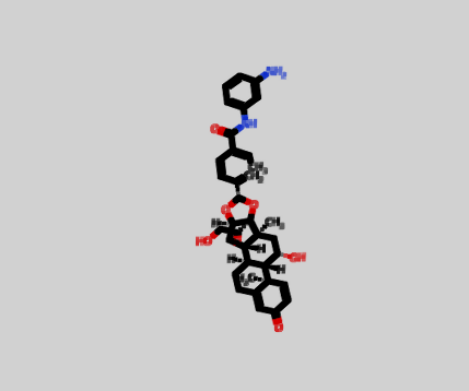 C=C(/C=C\C(=C/C)C(=O)Nc1cccc(N)c1)[C@H]1O[C@@H]2C[C@H]3[C@@H]4CCC5=CC(=O)C=C[C@]5(C)[C@H]4[C@@H](O)C[C@]3(C)[C@]2(C(=O)CO)O1